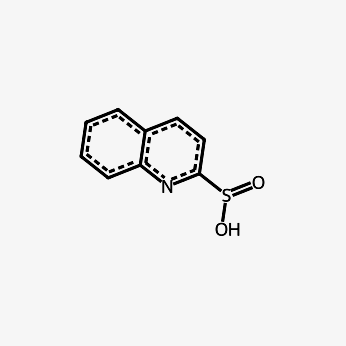 O=S(O)c1ccc2ccccc2n1